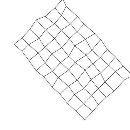 C1C2C3C4C5C6CC7C8C9C%10C%11C%12C%13C%14CC%15C%16C%17C%18C%19CC%20C%21C%22C%23C%24C%25C%26C1C21C32C43C54C67C85C96C%107C%118C%129C%13%10C%15%14C%16%11C%17%12C%18%13C%19%20C%21%14C%22%15C%23%16C%24%17C%25%18C%261C21C32C45C63C74C85C96C%11%10C%127C%13%14C%158C%169C%17%10C%181C23C%104C95C786